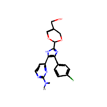 CC(C)N(C)c1nccc(-c2[nH]c(C3OCC(CO)CO3)nc2-c2ccc(F)cc2)n1